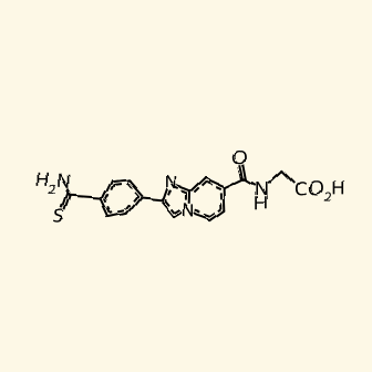 NC(=S)c1ccc(-c2cn3ccc(C(=O)NCC(=O)O)cc3n2)cc1